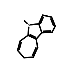 Cn1c2c(c3ccccc31)C=CCC=C2